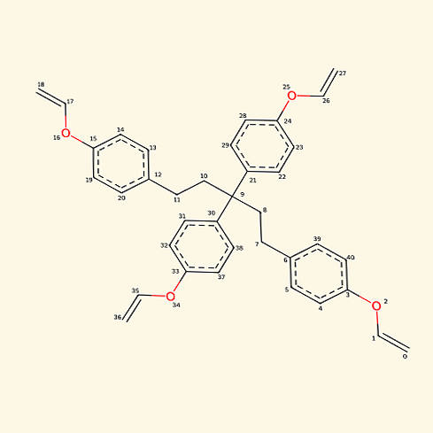 C=COc1ccc(CCC(CCc2ccc(OC=C)cc2)(c2ccc(OC=C)cc2)c2ccc(OC=C)cc2)cc1